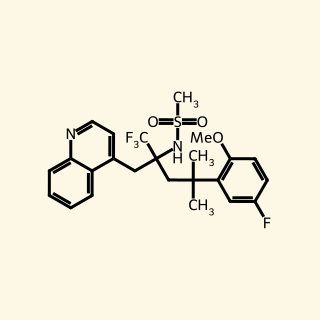 COc1ccc(F)cc1C(C)(C)CC(Cc1ccnc2ccccc12)(NS(C)(=O)=O)C(F)(F)F